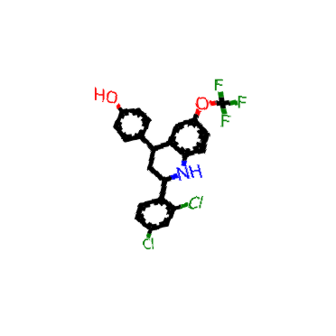 Oc1ccc(C2CC(c3ccc(Cl)cc3Cl)Nc3ccc(OC(F)(F)F)cc32)cc1